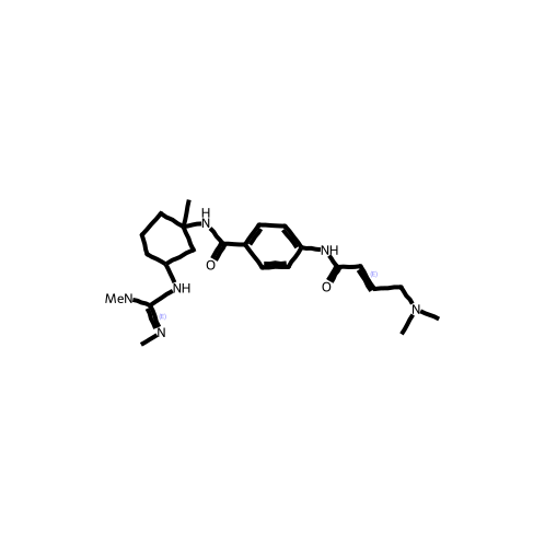 C/N=C(\NC)NC1CCCC(C)(NC(=O)c2ccc(NC(=O)/C=C/CN(C)C)cc2)C1